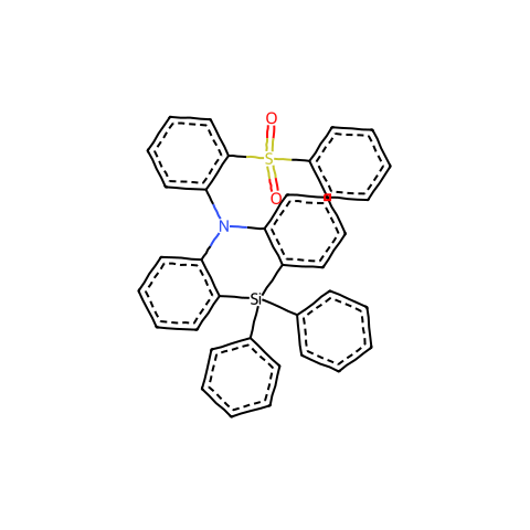 O=S(=O)(c1ccccc1)c1ccccc1N1c2ccccc2[Si](c2ccccc2)(c2ccccc2)c2ccccc21